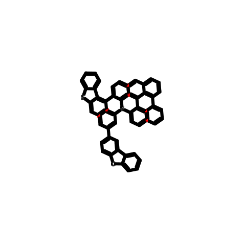 c1ccc(-c2cccc3cccc(-c4ccccc4N(c4cccc(-c5ccc6oc7ccccc7c6c5)c4)c4ccccc4-c4cccc5sc6ccccc6c45)c23)cc1